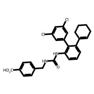 O=C(NCc1ccc(C(=O)O)cc1)Nc1cccc(C2=CCCCC2)c1-c1cc(Cl)cc(Cl)c1